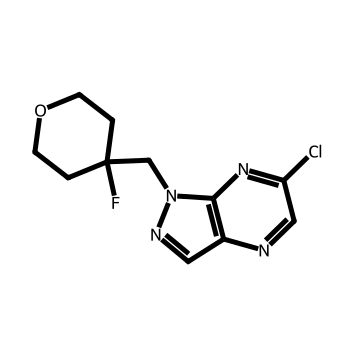 FC1(Cn2ncc3ncc(Cl)nc32)CCOCC1